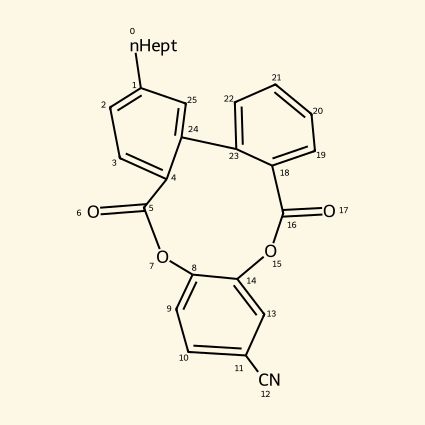 CCCCCCCc1ccc2c(=O)oc3ccc(C#N)cc3oc(=O)c3ccccc3c2c1